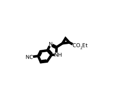 CCOC(=O)C1CC1c1nc2cc(C#N)ccc2[nH]1